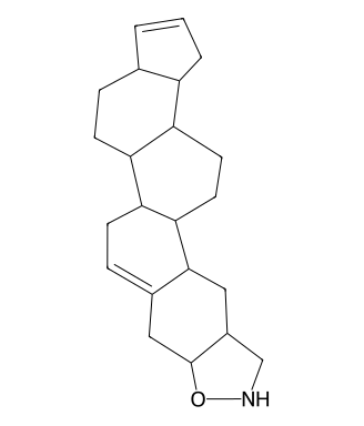 C1=CC2CCC3C(CCC4C5CC6CNOC6CC5=CCC43)C2C1